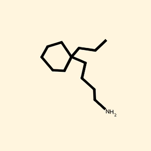 CCCC1(CCCCN)CCCCC1